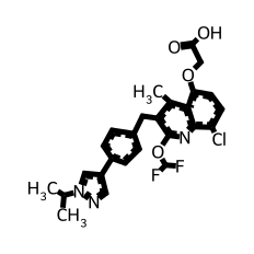 Cc1c(Cc2ccc(-c3cnn(C(C)C)c3)cc2)c(OC(F)F)nc2c(Cl)ccc(OCC(=O)O)c12